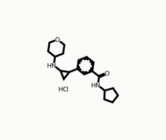 Cl.O=C(NC1CCCC1)c1cccc(C2CC2NC2CCOCC2)c1